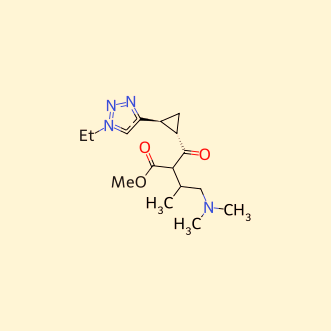 CCn1cc([C@H]2C[C@@H]2C(=O)C(C(=O)OC)C(C)CN(C)C)nn1